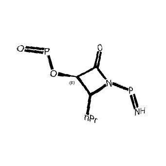 CCCC1[C@@H](OP=O)C(=O)N1P=N